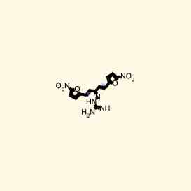 N=C(N)NN=C(/C=C/c1ccc([N+](=O)[O-])o1)/C=C/c1ccc([N+](=O)[O-])o1